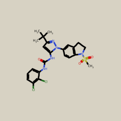 CC(C)(C)c1cc(NC(=O)Nc2cccc(Cl)c2Cl)n(-c2ccc3c(c2)CCN3S(C)(=O)=O)n1